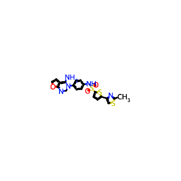 Cc1nc(-c2ccc(S(=O)(=O)Nc3ccc(N4CN=c5occc5=C4N)cc3)s2)cs1